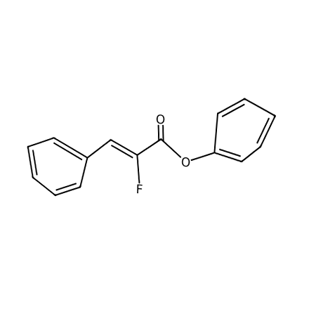 O=C(Oc1ccccc1)C(F)=Cc1ccccc1